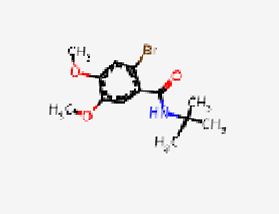 COc1cc(Br)c(C(=O)NC(C)(C)C)cc1OC